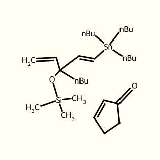 C=CC(C=[CH][Sn]([CH2]CCC)([CH2]CCC)[CH2]CCC)(CCCC)O[Si](C)(C)C.O=C1C=CCC1